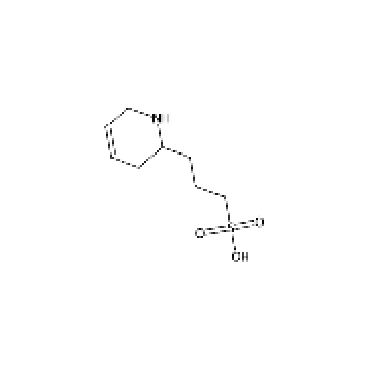 O=S(=O)(O)CCCC1CC=CCN1